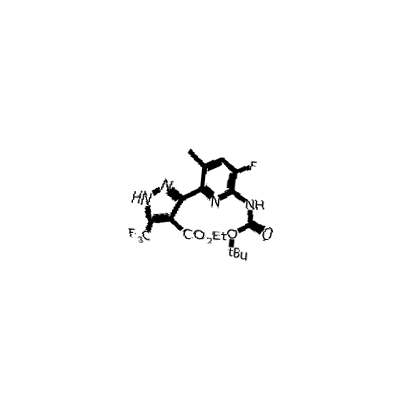 CCOC(=O)c1c(-c2nc(NC(=O)OC(C)(C)C)c(F)cc2C)n[nH]c1C(F)(F)F